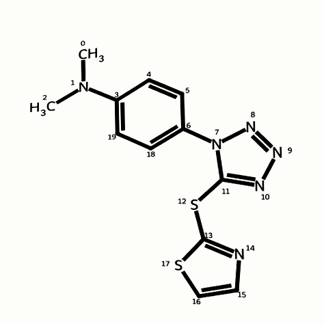 CN(C)c1ccc(-n2nnnc2Sc2nccs2)cc1